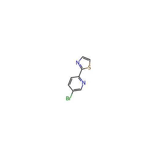 Brc1ccc(-c2nccs2)nc1